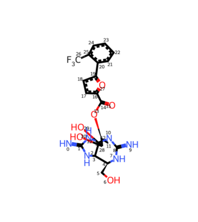 N=C1NC2[C@H](CO)NC(=N)N3C[C@H](OC(=O)c4ccc(-c5ccccc5C(F)(F)F)o4)C(O)(O)[C@]23N1